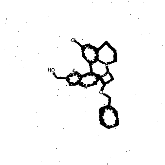 OCc1cc2nccc(-c3cc(Cl)cc4c3N(C3CC(OCc5ccccc5)C3)CCC4)c2s1